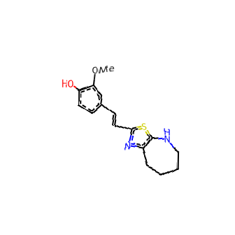 COc1cc(C=Cc2nc3c(s2)NCCCC3)ccc1O